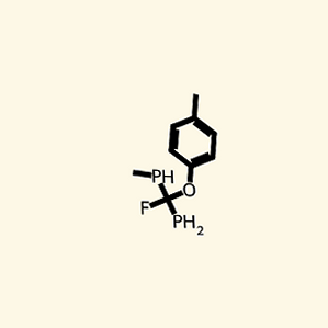 CPC(F)(P)Oc1ccc(C)cc1